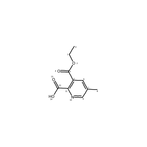 CCOC(=O)c1cc(C)cnc1C(=O)O